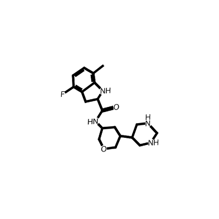 Cc1ccc(F)c2c1NC(C(=O)NC1COCC(C3CNCNC3)C1)C2